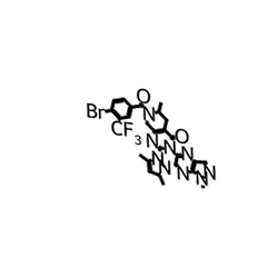 Cc1cc(C)n(-c2nc3c(c(=O)n2-c2cnc4c(cnn4C)n2)CC(C)N(C(=O)c2ccc(Br)c(C(F)(F)F)c2)C3)n1